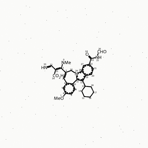 CN/C(C1=Cc2cc(OC)ccc2-c2c(C3CCCCC3)c3ccc(C(=O)NC=O)cc3n2C1)=C(\C=N)C(=O)O